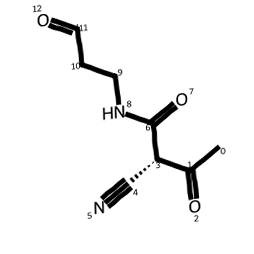 CC(=O)[C@H](C#N)C(=O)NCC[C]=O